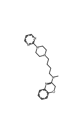 CN(CCCCN1CCN(c2ncccn2)CC1)C1=Nc2ccccc2OC1